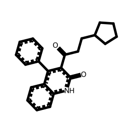 O=C(CCC1CCCC1)c1c(-c2ccccc2)c2ccccc2[nH]c1=O